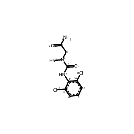 NC(=O)CN(S)C(=O)Nc1c(Cl)cccc1Cl